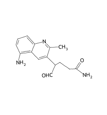 Cc1nc2cccc(N)c2cc1C(C=O)CCC(N)=O